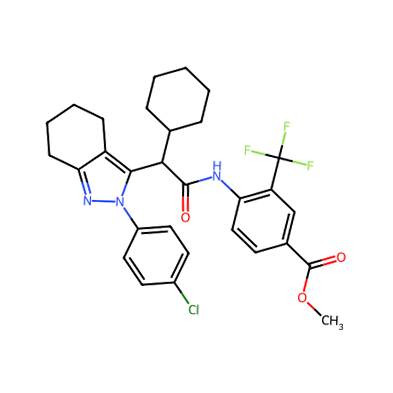 COC(=O)c1ccc(NC(=O)C(c2c3c(nn2-c2ccc(Cl)cc2)CCCC3)C2CCCCC2)c(C(F)(F)F)c1